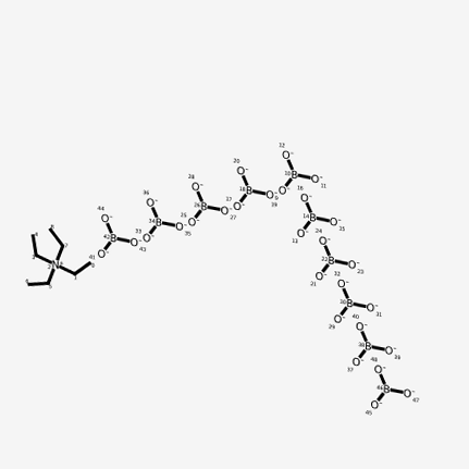 CC[N+](CC)(CC)CC.[O-]B([O-])[O-].[O-]B([O-])[O-].[O-]B([O-])[O-].[O-]B([O-])[O-].[O-]B([O-])[O-].[O-]B([O-])[O-].[O-]B([O-])[O-].[O-]B([O-])[O-].[O-]B([O-])[O-].[O-]B([O-])[O-]